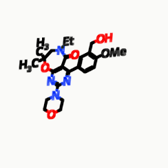 CCN1CC(C)(C)Oc2nc(N3CCOCC3)nc(-c3ccc(OC)c(CO)c3)c2C1=O